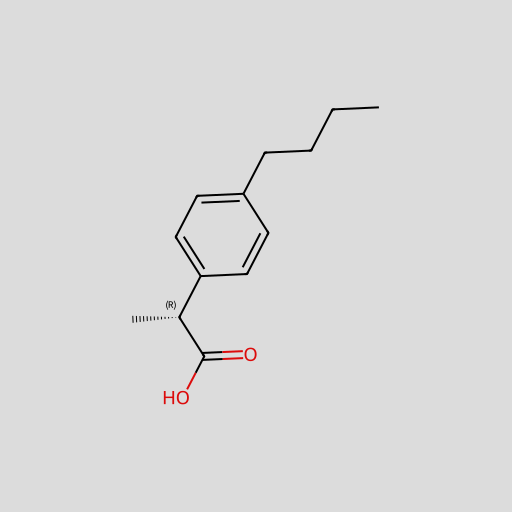 CCCCc1ccc([C@@H](C)C(=O)O)cc1